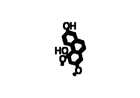 COC1=Cc2ccc3cc(O)ccc3c2C(O)(OC)C1